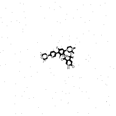 CC1CN(c2cc(F)c(-c3ccc(N4C[C@@H](C)O[C@@H](C)C4)nc3)c(F)c2NC(=O)c2c[nH]c(=O)cc2C(F)(F)F)CCN1C